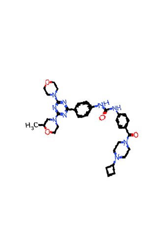 CC1CN(c2nc(-c3ccc(NC(=O)Nc4ccc(C(=O)N5CCN(C6CCC6)CC5)cc4)cc3)nc(N3CCOCC3)n2)CCO1